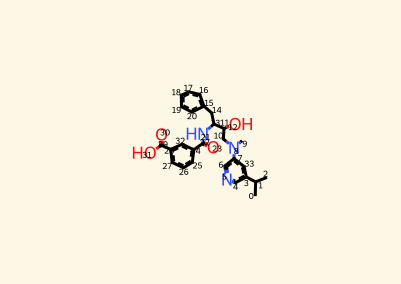 CC(C)c1cncc(N(C)CC(O)C(Cc2ccccc2)NC(=O)c2cccc(C(=O)O)c2)c1